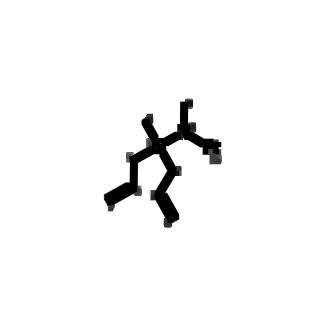 C=CC[Si](C)(CC=C)N(C)CC